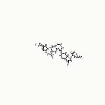 C=C(NC)c1c[nH]c2ccc(N3CCCc4cc(-c5cnn(C)c5)c(C(F)F)cc43)cc12